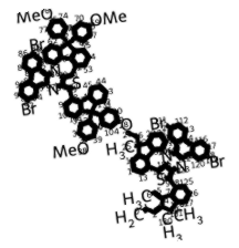 C=C/C=C1\C(=C/C)c2c(-c3sc(-c4cccc5c4-c4ccccc4C5(C)CCOc4ccc(C5(c6ccc(OC)cc6)c6ccccc6-c6c(-c7sc(-c8cccc9c8-c8ccccc8C9(c8ccc(OC)cc8)c8ccc(OC)cc8)c8nc9c%10cc(Br)ccc%10c%10ccc(Br)cc%10c9nc78)cccc65)cc4)c4nc5c6cc(Br)ccc6c6ccc(Br)cc6c5nc34)cccc2C1(C)C